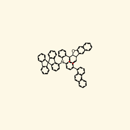 C1=CC2c3cc4ccccc4cc3OC2C(c2ccccc2N(c2ccc(-c3cccc4c3ccc3ccccc34)cc2)c2cccc3c2-c2ccccc2C32c3ccccc3-c3ccccc32)=C1